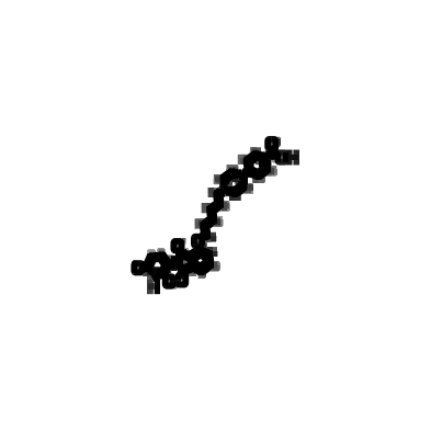 O=C1CCC(N2C(=O)c3cccc(OCCCCCCN4CCN(C5CCN(C(=O)O)CC5)CC4)c3C2=O)C(=O)N1